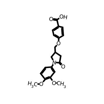 COc1ccc(N2CC(COc3ccc(C(=O)O)cc3)CC2=O)cc1OC